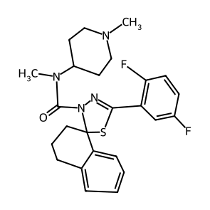 CN1CCC(N(C)C(=O)N2N=C(c3cc(F)ccc3F)SC23CCCc2ccccc23)CC1